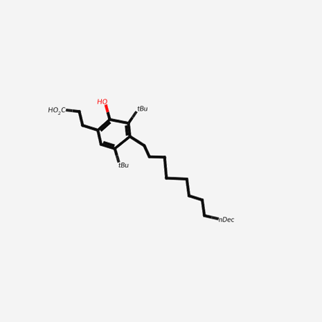 CCCCCCCCCCCCCCCCCCc1c(C(C)(C)C)cc(CCC(=O)O)c(O)c1C(C)(C)C